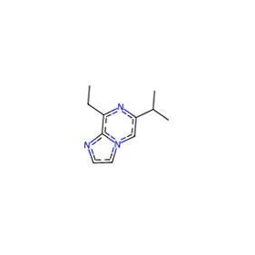 CCc1nc(C(C)C)cn2ccnc12